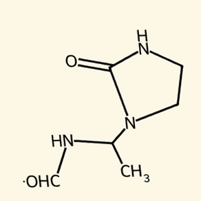 CC(N[C]=O)N1CCNC1=O